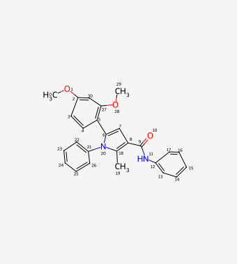 COc1ccc(-c2cc(C(=O)Nc3ccccc3)c(C)n2-c2ccccc2)c(OC)c1